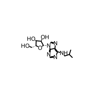 CC(C)CNc1ncnc2c1ncn2[C@@H]1O[C@H](CO)[C@@H](O)[C@H]1O